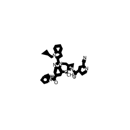 COc1cc(C(=O)N2CC3CCC2[C@H]3N)cc2nc(-c3cc4ccccc4n3CC3CC3)n(CC3CN(C(=O)c4ccnc(C#N)c4)C3)c12